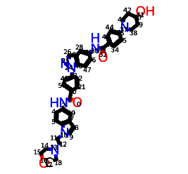 O=C(Nc1ccc2c(ccn2CCN2CCOCC2)c1)c1ccc(-n2ncc3cc(NC(=O)c4ccc(N5CCC(O)CC5)cc4)ccc32)cc1